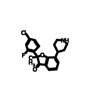 CC1(c2ccc(Cl)cc2F)Oc2c(cccc2C2CCNCC2)C1=O